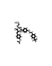 CC(C)Oc1ccc(C=C(NC(=O)c2ccc(OCCc3ccc(C(F)(F)F)cc3)cc2)C(=O)NCCO)cc1